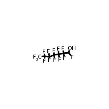 OC(F)C(F)(F)C(F)(F)C(F)(F)C(F)(F)C(F)(F)C(F)(F)F